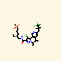 CC[C@H](CCCS(C)(=O)=O)CNC(=O)c1nn(CC)c(-c2cnc(CC(C)(C)C(F)(F)F)cc2C(C)C)c1Cl